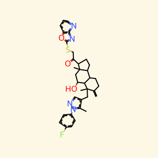 C=C1CCC2C(C(O)CC3(C)C(C(=O)CSc4nc5ncccc5o4)CCC23)C1(C)Cc1cnn(-c2ccc(F)cc2)c1C